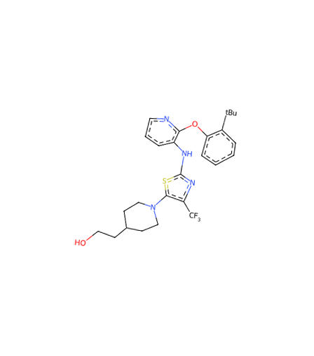 CC(C)(C)c1ccccc1Oc1ncccc1Nc1nc(C(F)(F)F)c(N2CCC(CCO)CC2)s1